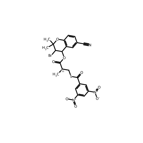 C[C@H](CSC(=O)c1cc([N+](=O)[O-])cc([N+](=O)[O-])c1)C(=O)OC1c2cc(C#N)ccc2OC(C)(C)C1Br